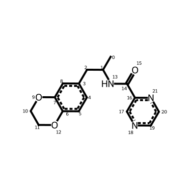 CC(Cc1ccc2c(c1)OCCO2)NC(=O)c1cnccn1